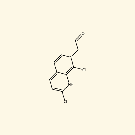 O=CCN1C=CC2=CC=C(Cl)NC2=C1Cl